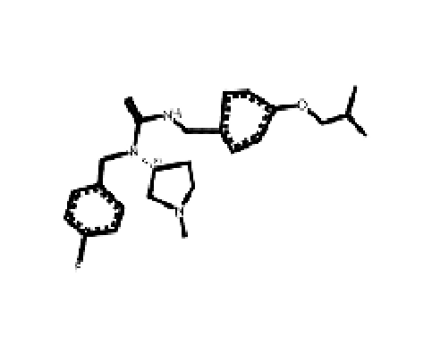 C=C(NCc1ccc(OCC(C)C)cc1)N(Cc1ccc(F)cc1)[C@@H]1CCN(C)C1